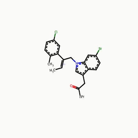 C/C=C(/Cn1cc(CC(=O)CCC)c2ccc(Br)cc21)c1cc(Cl)ccc1C